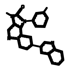 Cc1cccc(-n2c(=O)n(C)c3cnc4ccc(-c5cnc6ccccc6c5)cc4c32)c1